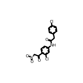 O=C(Cc1ccc(Cl)cc1)Nc1ccc(C(=O)C[N+](=O)[O-])c(Cl)c1